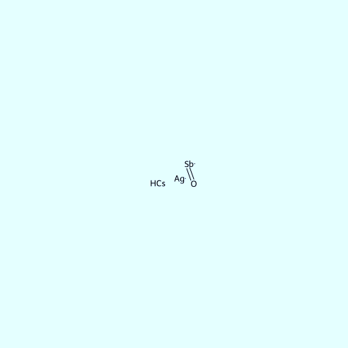 [Ag].[CsH].[O]=[Sb]